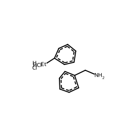 CCc1ccccc1.Cl.Cl.NCc1ccccc1